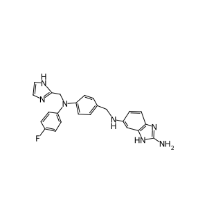 Nc1nc2ccc(NCc3ccc(N(Cc4ncc[nH]4)c4ccc(F)cc4)cc3)cc2[nH]1